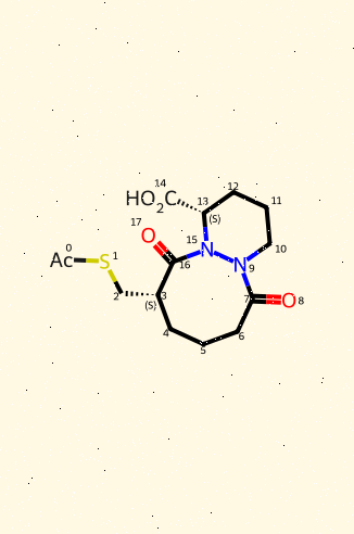 CC(=O)SC[C@H]1CCCC(=O)N2CCC[C@@H](C(=O)O)N2C1=O